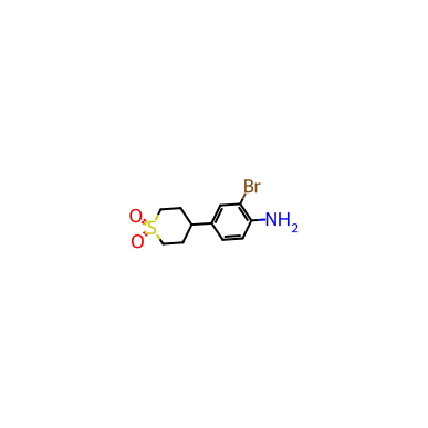 Nc1ccc(C2CCS(=O)(=O)CC2)cc1Br